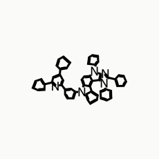 c1ccc(-c2cc(-c3ccccc3)nc(-c3cccc(-n4c5ccccc5c5c6c7c(nc(-c8ccccc8)n7-c7ccccc7)n(-c7ccccc7)c6ccc54)c3)c2)cc1